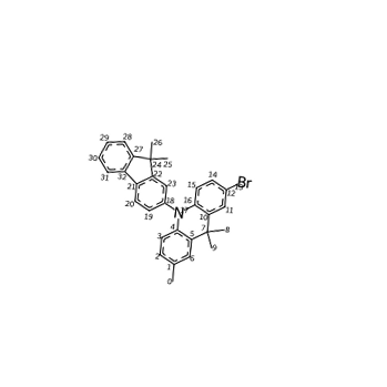 Cc1ccc2c(c1)C(C)(C)c1cc(Br)ccc1N2c1ccc2c(c1)C(C)(C)c1ccccc1-2